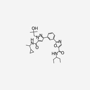 CCC(CC)NC(=O)c1cnc(-c2cccc(-c3cc(C(=O)NC(C)C4CC4)n(CC(C)(C)O)n3)c2)o1